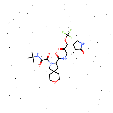 CC(C)(C)NC(=O)C(=O)N1CC2(CCOCC2)CC1C(=O)N[C@@H](C[C@@H]1CCNC1=O)C(=O)COC(F)(F)F